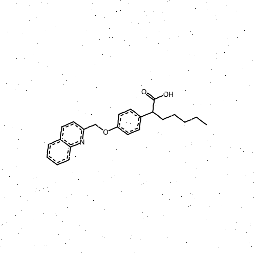 CCCCCC(C(=O)O)c1ccc(OCc2ccc3ccccc3n2)cc1